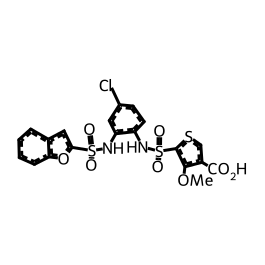 COc1c(C(=O)O)csc1S(=O)(=O)Nc1ccc(Cl)cc1NS(=O)(=O)c1cc2ccccc2o1